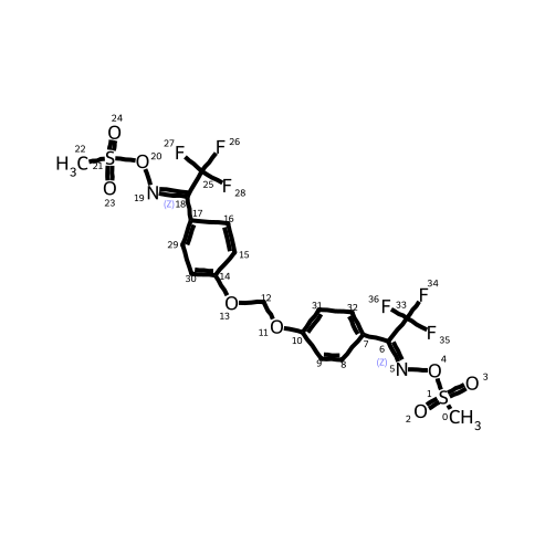 CS(=O)(=O)O/N=C(/c1ccc(OCOc2ccc(/C(=N/OS(C)(=O)=O)C(F)(F)F)cc2)cc1)C(F)(F)F